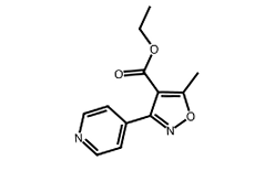 CCOC(=O)c1c(-c2ccncc2)noc1C